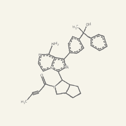 CC#CC(=O)N1CC2CCCC2C1c1nc(-c2ccc(C(C)(O)c3ccccc3)cc2)c2c(N)nccn12